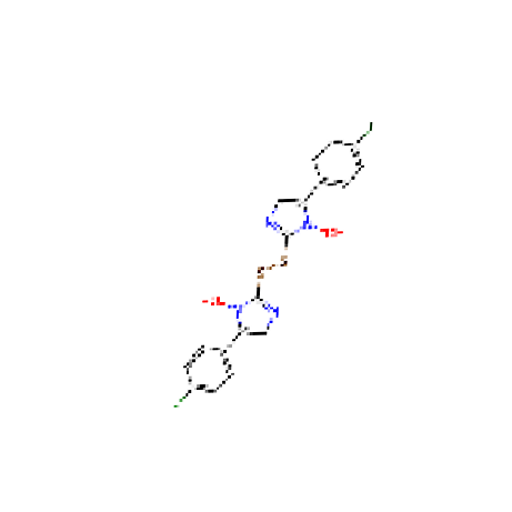 On1c(C2=CC=C(F)CC2)cnc1SSc1ncc(-c2ccc(F)cc2)n1O